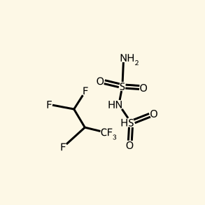 FC(F)C(F)C(F)(F)F.NS(=O)(=O)N[SH](=O)=O